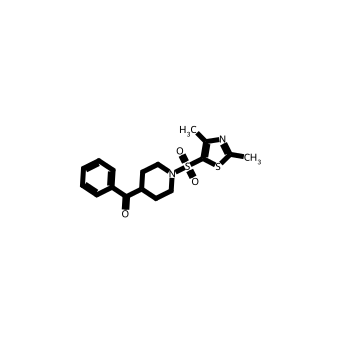 Cc1nc(C)c(S(=O)(=O)N2CCC(C(=O)c3ccccc3)CC2)s1